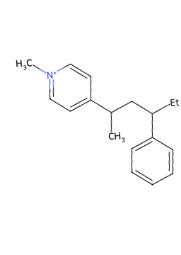 CCC(CC(C)c1cc[n+](C)cc1)c1ccccc1